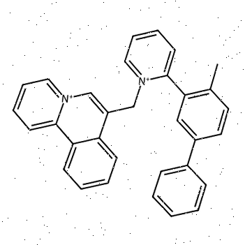 Cc1ccc(-c2ccccc2)cc1-c1cccc[n+]1Cc1c[n+]2ccccc2c2ccccc12